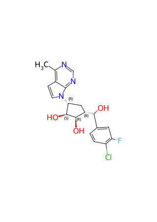 Cc1ncnc2c1ccn2[C@@H]1C[C@H](C(O)c2ccc(Cl)c(F)c2)[C@@H](O)[C@H]1O